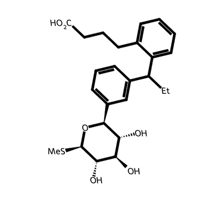 CCC(c1cccc([C@@H]2O[C@H](SC)[C@@H](O)[C@H](O)[C@H]2O)c1)c1ccccc1CCCC(=O)O